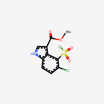 CC(C)(C)OC(=O)c1c[nH]c2ccc(Cl)c(S(=O)(=O)Cl)c12